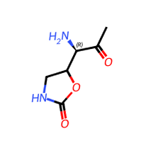 CC(=O)[C@H](N)C1CNC(=O)O1